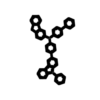 c1ccc(-c2ccc(N(c3ccc(-c4ccc5c(c4)c4ccccc4n5-c4ccccc4)cc3)c3ccc4c(c3)-c3ccccc3C4)cc2)cc1